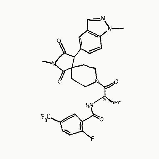 CC(C)[C@@H](NC(=O)c1cc(C(F)(F)F)ccc1F)C(=O)N1CCC2(CC1)C(=O)N(C)C(=O)C2c1ccc2c(cnn2C)c1